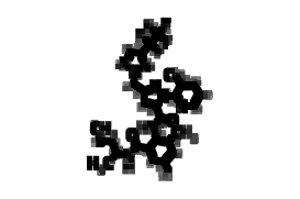 CSC[C@H](C)NC(=O)c1cc(I)cc(C)c1NC(=O)c1cc(Cn2ncc(C(F)(F)C(F)(F)F)n2)nn1-c1ncccc1Cl